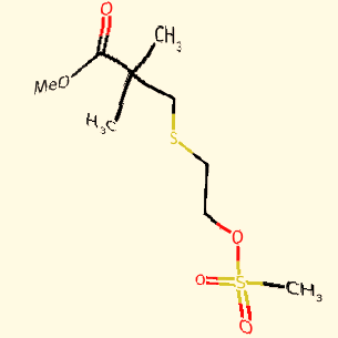 COC(=O)C(C)(C)CSCCOS(C)(=O)=O